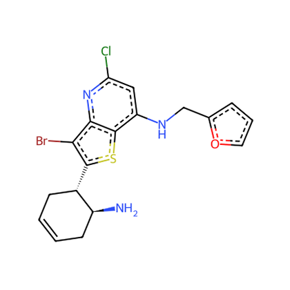 N[C@H]1CC=CC[C@@H]1c1sc2c(NCc3ccco3)cc(Cl)nc2c1Br